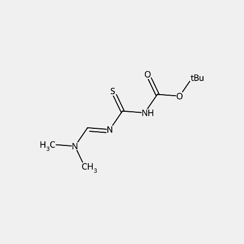 CN(C)/C=N/C(=S)NC(=O)OC(C)(C)C